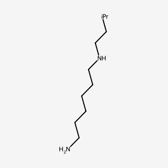 CC(C)CCNCCCCCCN